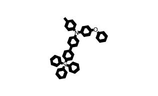 Cc1ccc(N(c2ccc(Oc3ccccc3)cc2)c2ccc(-c3ccc([Si](c4ccccc4)(c4ccccc4)c4ccccc4)cc3)cc2)cc1